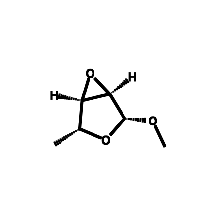 CO[C@@H]1O[C@H](C)[C@H]2O[C@@H]12